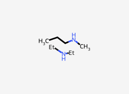 CCCNC.CCNCC